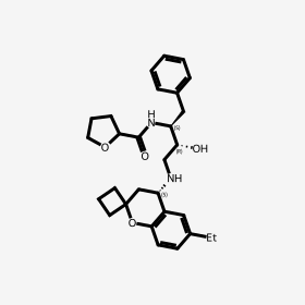 CCc1ccc2c(c1)[C@@H](NC[C@@H](O)[C@H](Cc1ccccc1)NC(=O)C1CCCO1)CC1(CCC1)O2